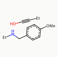 CCC#CO.CCNCc1ccc(OC)cc1